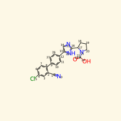 N#Cc1cc(Cl)ccc1-c1ccc(-c2cnc(C3CCCN3C(=O)O)[nH]2)cc1